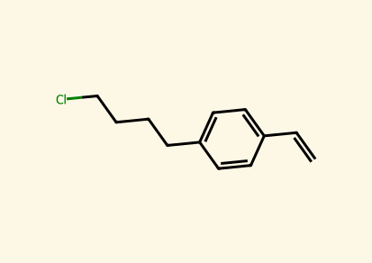 C=Cc1ccc(CCCCCl)cc1